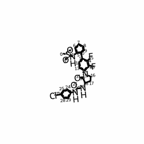 CS(=O)(=O)Nc1ccccc1-c1ccc(N2CCC(NC(=O)Nc3ccc(Cl)cc3)C2=O)c(F)c1F